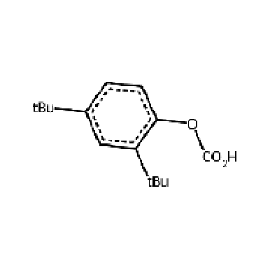 CC(C)(C)c1ccc(OC(=O)O)c(C(C)(C)C)c1